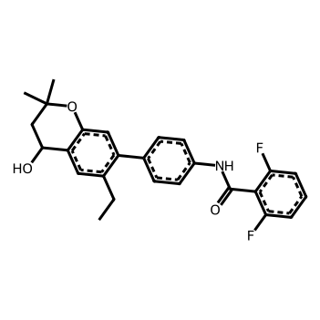 CCc1cc2c(cc1-c1ccc(NC(=O)c3c(F)cccc3F)cc1)OC(C)(C)CC2O